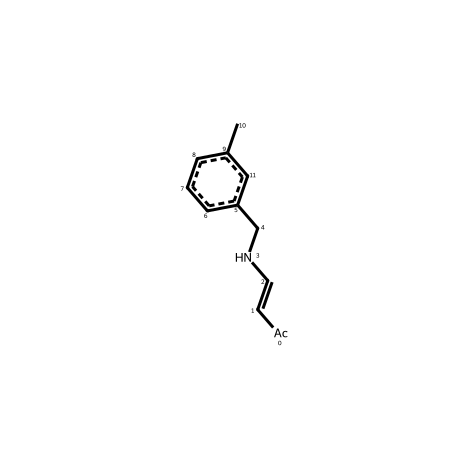 CC(=O)/C=C/NCc1cccc(C)c1